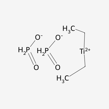 C[CH2][Ti+2][CH2]C.O=[PH2][O-].O=[PH2][O-]